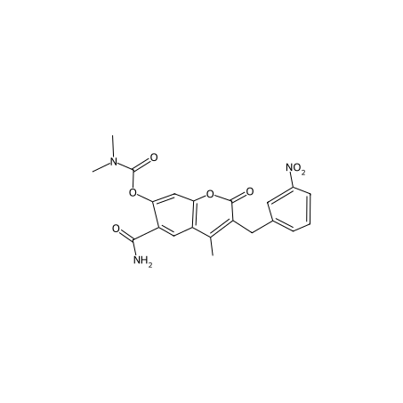 Cc1c(Cc2cccc([N+](=O)[O-])c2)c(=O)oc2cc(OC(=O)N(C)C)c(C(N)=O)cc12